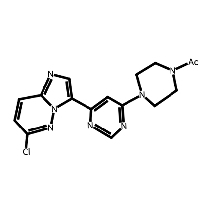 CC(=O)N1CCN(c2cc(-c3cnc4ccc(Cl)nn34)ncn2)CC1